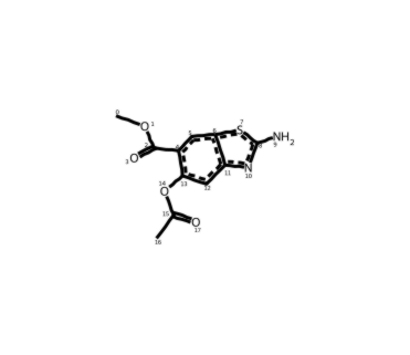 COC(=O)c1cc2sc(N)nc2cc1OC(C)=O